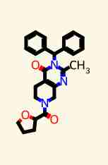 Cc1nc2c(c(=O)n1C(c1ccccc1)c1ccccc1)CCN(C(=O)C1CCCO1)C2